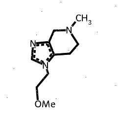 COCCn1cnc2c1CCN(C)C2